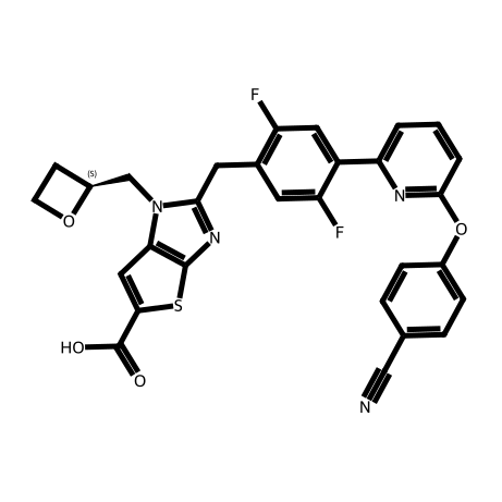 N#Cc1ccc(Oc2cccc(-c3cc(F)c(Cc4nc5sc(C(=O)O)cc5n4C[C@@H]4CCO4)cc3F)n2)cc1